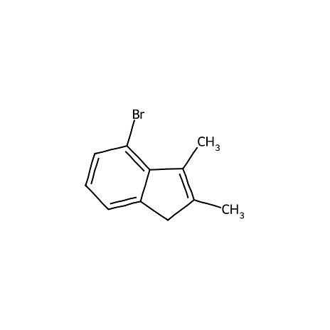 CC1=C(C)c2c(Br)cccc2C1